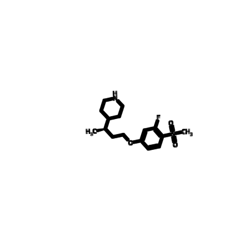 C[C@H](CCOc1ccc(S(C)(=O)=O)c(F)c1)C1CCNCC1